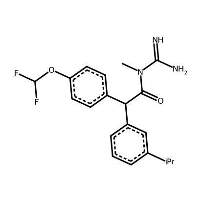 CC(C)c1cccc(C(C(=O)N(C)C(=N)N)c2ccc(OC(F)F)cc2)c1